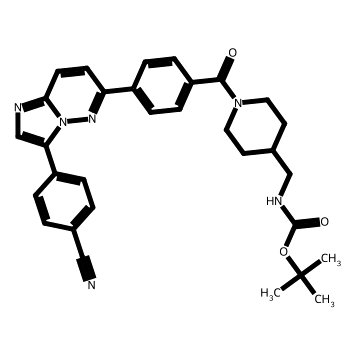 CC(C)(C)OC(=O)NCC1CCN(C(=O)c2ccc(-c3ccc4ncc(-c5ccc(C#N)cc5)n4n3)cc2)CC1